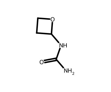 NC(=O)NC1CCO1